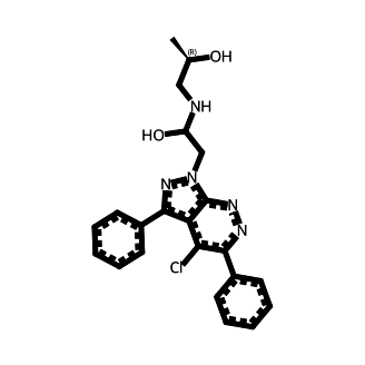 C[C@@H](O)CNC(O)Cn1nc(-c2ccccc2)c2c(Cl)c(-c3ccccc3)nnc21